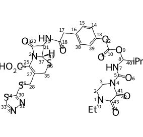 CCN1CCN(C(=O)NC(OC(=O)Oc2ccc(CC(=O)NC3C(=O)N4C(C(=O)O)=C(CSc5nncs5)CS[C@@H]34)cc2)C(C)C)C(=O)C1=O